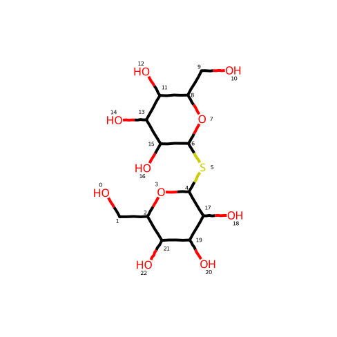 OCC1OC(SC2OC(CO)C(O)C(O)C2O)C(O)C(O)C1O